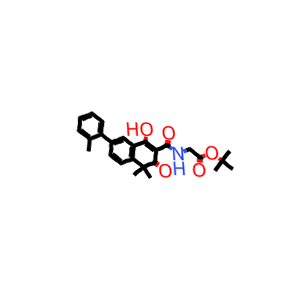 Cc1ccccc1-c1ccc2c(c1)C(O)=C(C(=O)NCC(=O)OC(C)(C)C)C(=O)C2(C)C